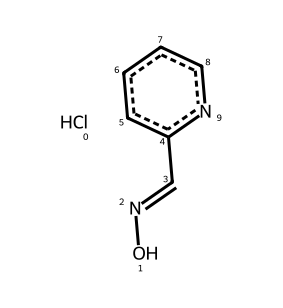 Cl.ON=Cc1ccccn1